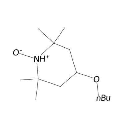 CCCCOC1CC(C)(C)[NH+]([O-])C(C)(C)C1